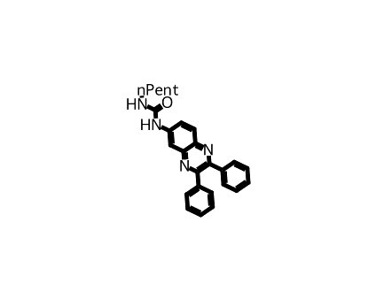 CCCCCNC(=O)Nc1ccc2nc(-c3ccccc3)c(-c3ccccc3)nc2c1